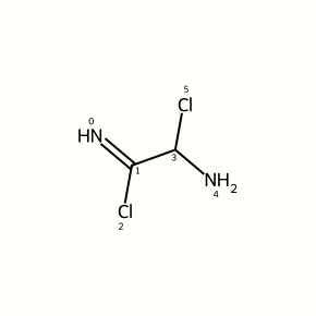 N=C(Cl)C(N)Cl